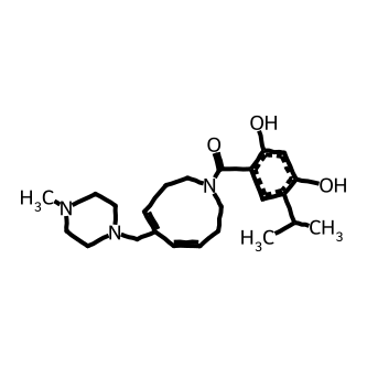 CC(C)c1cc(C(=O)N2CC/C=C\C(CN3CCN(C)CC3)=C/CC2)c(O)cc1O